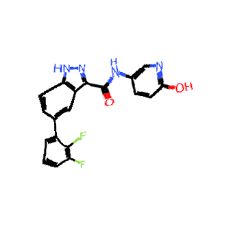 O=C(Nc1ccc(O)nc1)c1n[nH]c2ccc(-c3cccc(F)c3F)cc12